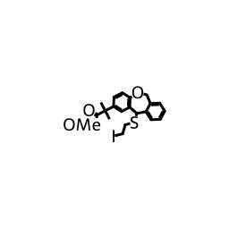 COC(=O)C(C)(C)c1ccc2c(c1)C(SCCI)c1ccccc1CO2